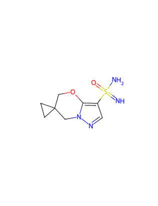 N=S(N)(=O)c1cnn2c1OCC1(CC1)C2